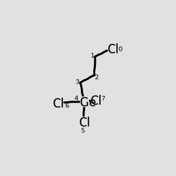 ClCC[CH2][Ge]([Cl])([Cl])[Cl]